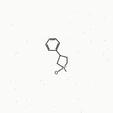 C[N+]1([O-])CCC(c2ccccc2)C1